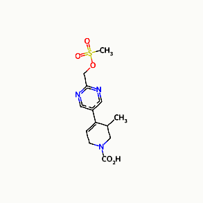 CC1CN(C(=O)O)CC=C1c1cnc(COS(C)(=O)=O)nc1